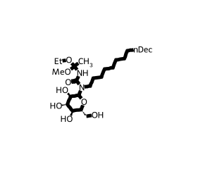 CCCCCCCCCCCCCCCCCCN(C(=O)NC(C)(OC)OCC)C1O[C@H](CO)[C@@H](O)[C@H](O)[C@H]1O